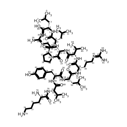 CC(C)C[C@H](NC(=O)[C@H](CC(C)C)NC(=O)[C@@H]1CCCN1C(=O)[C@H](CCCN=C(N)N)NC(=O)[C@@H](NC(=O)[C@H](CCCN=C(N)N)NC(=O)[C@H](CC(C)C)NC(=O)[C@H](Cc1ccc(O)cc1)NC(=O)[C@@H](NC(=O)[C@@H](N)CCCCN)C(C)C)C(C)C)C(=O)O